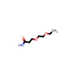 CCOCCOCCC([NH])=O